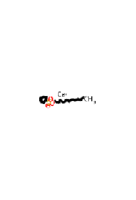 CCCCCCCCCCCCOS(=O)(=O)c1ccccc1.[Ca]